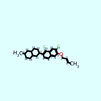 CC=CCOc1cc2ccc(C3CCC4CC(C)CCC4C3)c(F)c2cc1F